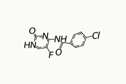 O=C(Nc1nc(=O)[nH]cc1F)c1ccc(Cl)cc1